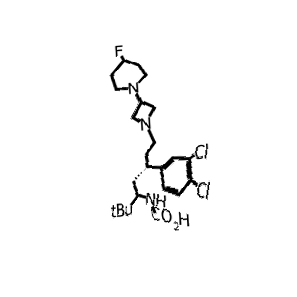 CC(C)(C)C(C[C@H](CCN1CC(N2CCC(F)CC2)C1)c1ccc(Cl)c(Cl)c1)NC(=O)O